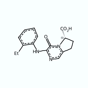 CCc1ccccc1Nc1ncc2n(c1=O)[C@H](C(=O)O)CC2